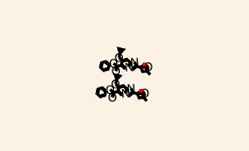 CC12CC(c3cn4cc(C(=O)Oc5ccccc5)c(OC5CC5)cc4n3)(CO1)C2.CC12CC(c3cn4cc(C(=O)Oc5ccccc5)c(OC5CC5)cc4n3)(CO1)C2